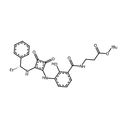 CC[C@@H](Nc1c(Nc2cccc(C(=O)NCCC(=O)OC(C)(C)C)c2O)c(=O)c1=O)c1ccccc1